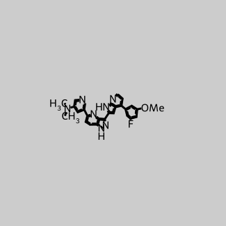 COc1cc(F)cc(-c2ccnc3[nH]c(-c4n[nH]c5ccc(-c6cncc(N(C)C)c6)nc45)cc23)c1